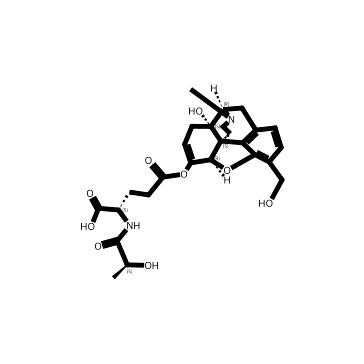 C[C@H](O)C(=O)N[C@@H](CCC(=O)OC1=CC[C@@]2(O)[C@H]3Cc4ccc(CO)c5c4[C@@]2(CCN3C)[C@H]1O5)C(=O)O